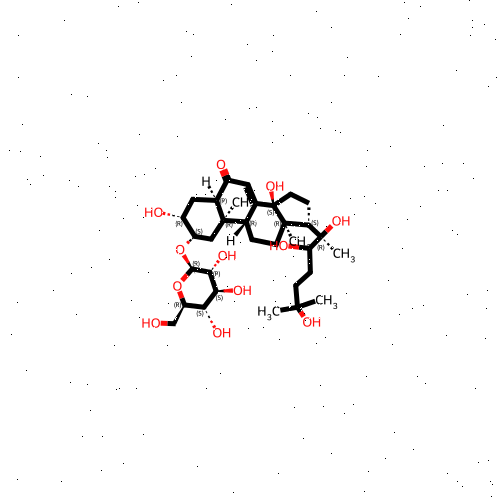 CC(C)(O)CCC(O)[C@](C)(O)[C@H]1CC[C@@]2(O)C3=CC(=O)[C@@H]4C[C@@H](O)[C@@H](O[C@@H]5O[C@H](CO)[C@@H](O)[C@H](O)[C@H]5O)C[C@]4(C)[C@H]3CC[C@]12C